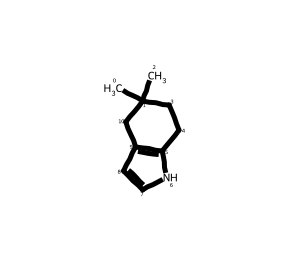 CC1(C)CCc2[nH]ccc2C1